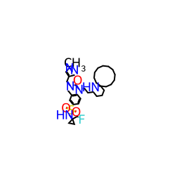 Cn1cc(CN2Cc3cc(S(=O)(=O)NC4(CF)CC4)ccc3N(CCC3CCCC4(CCCCCCCCCCC4)N3)C2=O)cn1